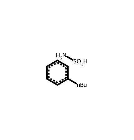 CCCCc1ccccc1.NS(=O)(=O)O